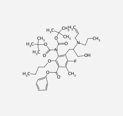 C=CCN(CCC)C(CO)Cc1c(F)c(C)c(C(=O)Oc2ccccc2)c(OCCCC)c1N(C(=O)OC(C)(C)C)C(=O)OC(C)(C)C